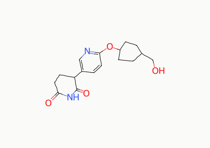 O=C1CCC(c2ccc(OC3CCC(CO)CC3)nc2)C(=O)N1